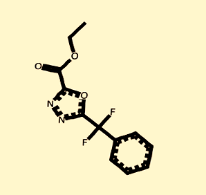 CCOC(=O)c1nnc(C(F)(F)c2ccccc2)o1